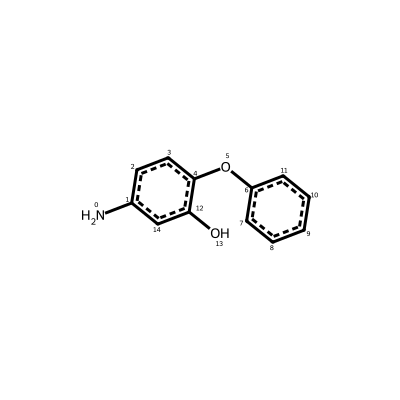 Nc1ccc(Oc2ccccc2)c(O)c1